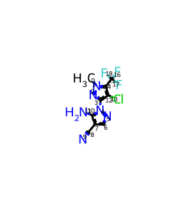 Cn1nc(-n2ncc(C#N)c2N)c(Cl)c1C(F)(F)F